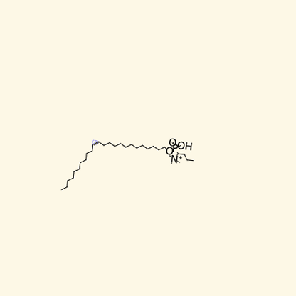 CCCCCCCCCC/C=C\CCCCCCCCCCCCOP(=O)(O)C(CCC)[N+](C)(C)C